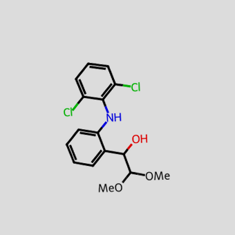 COC(OC)C(O)c1ccccc1Nc1c(Cl)cccc1Cl